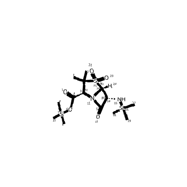 CC1(C)[C@H](C(=O)O[Si](C)(C)C)N2C(=O)[C@@H](N[Si](C)(C)C)[C@H]2S1(=O)=O